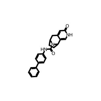 O=C(Nc1ccc(-c2ccccc2)cc1)N1C2CCC1c1c[nH]c(=O)cc1C2